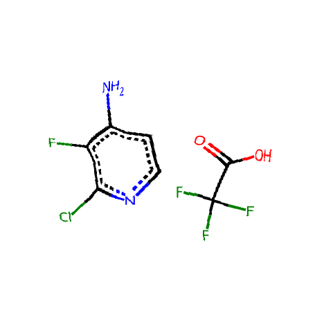 Nc1ccnc(Cl)c1F.O=C(O)C(F)(F)F